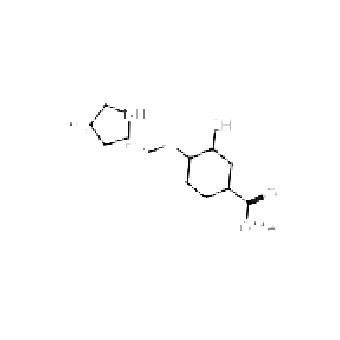 COC(=O)C1CCC(OC[C@@H]2C[C@H](F)CN2)C(C)C1